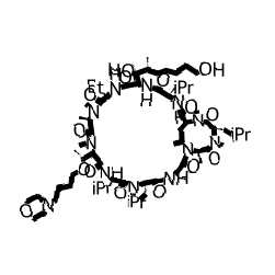 CC[C@@H]1NC(=O)[C@H]([C@H](O)[C@H](C)CCCCCO)NC(=O)[C@H](C(C)C)N(C)C(=O)[C@@H]2CC(C)N(C(=O)[C@H](C)NC(=O)[C@H](CC(C)C)N(C)C(=O)[C@H](C(C)C)NC(=O)[C@H]([C@@H](C)OCCCCN3CCOCC3)N(C)C(=O)[C@@H](C)N(C)C1=O)[C@H](C)C(=O)N(C)[C@@H](CC(C)C)C(=O)N2C